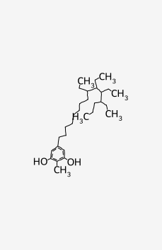 CCCC(CC)C(CC)C(CC)C(CC)CCCCCCCCc1cc(O)c(C)c(O)c1